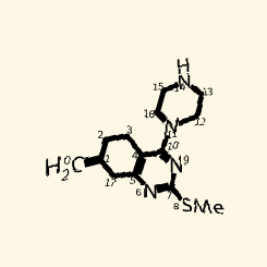 C=C1CCc2c(nc(SC)nc2N2CCNCC2)C1